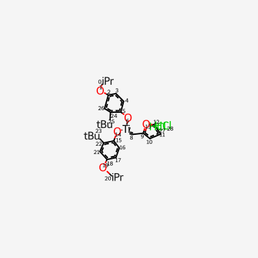 CC(C)Oc1ccc([O][Ti](=[CH]c2ccco2)[O]c2ccc(OC(C)C)cc2C(C)(C)C)c(C(C)(C)C)c1.Cl.Cl